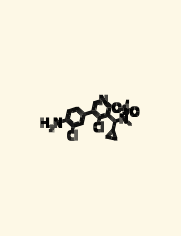 CN(C(c1cncc(-c2ccc(N)c(Cl)c2)c1Cl)C1CC1)S(C)(=O)=O